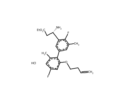 C=CCCOc1cc(F)cc(C)c1-c1cc(C)c(F)c([C@@H](N)CC(=O)OCC)c1.Cl